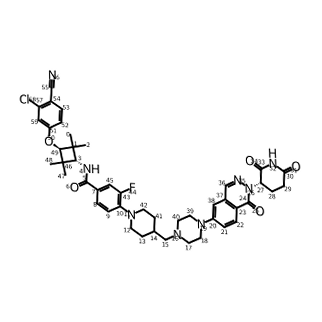 CC1(C)[C@H](NC(=O)c2ccc(N3CCC(CN4CCN(c5ccc6c(=O)n([C@H]7CCC(=O)NC7=O)ncc6c5)CC4)CC3)c(F)c2)C(C)(C)[C@H]1Oc1ccc(C#N)c(Cl)c1